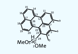 CO[SiH2]OC.Cc1c(C)c2c(C)ccc3c4cccc5cccc(c(c1C)c23)c54